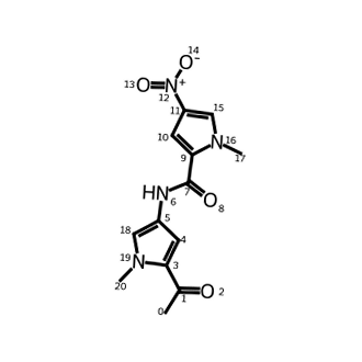 CC(=O)c1cc(NC(=O)c2cc([N+](=O)[O-])cn2C)cn1C